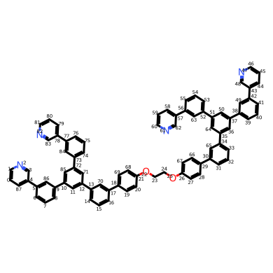 c1cncc(-c2cccc(-c3cc(-c4cccc(-c5ccc(OCCOc6ccc(-c7cccc(-c8cc(-c9cccc(-c%10cccnc%10)c9)cc(-c9cccc(-c%10cccnc%10)c9)c8)c7)cc6)cc5)c4)cc(-c4cccc(-c5cccnc5)c4)c3)c2)c1